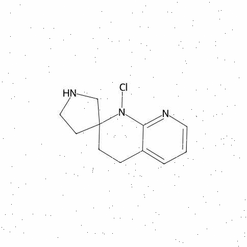 ClN1c2ncccc2CCC12CCNC2